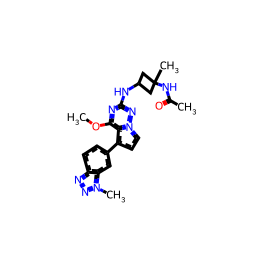 COc1nc(NC2CC(C)(NC(C)=O)C2)nn2ccc(-c3ccc4nnn(C)c4c3)c12